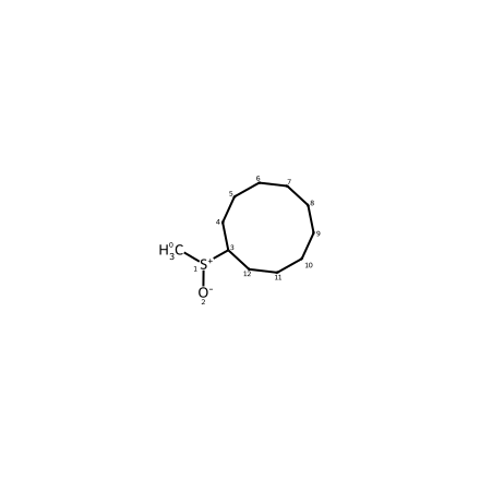 C[S+]([O-])C1CCCCCCCCC1